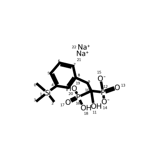 C[Si](C)(C)c1cccc(CC(O)(P(=O)([O-])[O-])P(=O)(O)O)c1.[Na+].[Na+]